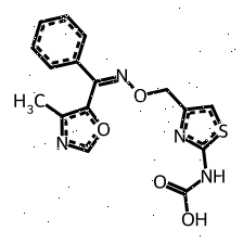 Cc1ncoc1C(=NOCc1csc(NC(=O)O)n1)c1ccccc1